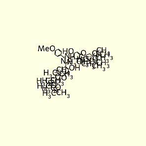 COc1ccc(-c2nc(-c3ccc(OC(CC([SiH3])(O[Si](C)(C)C)O[Si](C)(C)C)O[Si](C)(C)C)cc3O)nc(-c3ccc(OC(CC([SiH3])(O[Si](C)(C)C)O[Si](C)(C)C)O[Si](C)(C)C)cc3O)n2)cc1